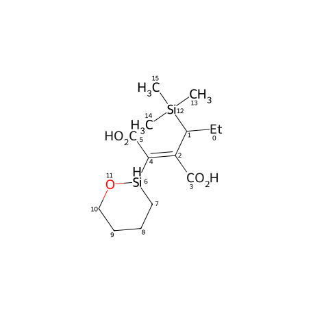 CCC(/C(C(=O)O)=C(\C(=O)O)[SiH]1CCCCO1)[Si](C)(C)C